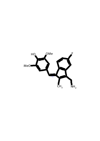 COc1cc(/C=C2/C(C)=C(CN)c3cc(F)ccc32)cc(OC)c1O